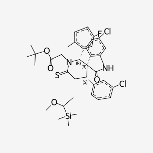 COC(C)[Si](C)(C)C.Cc1ccc(F)cc1[C@H]1N(CC(=O)OC(C)(C)C)C(=S)C[C@@H](c2cccc(Cl)c2)[C@]12C(=O)Nc1cc(Cl)ccc12